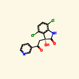 O=C(C[C@]1(O)C(=O)Nc2c(Cl)ccc(Cl)c21)c1cccnc1